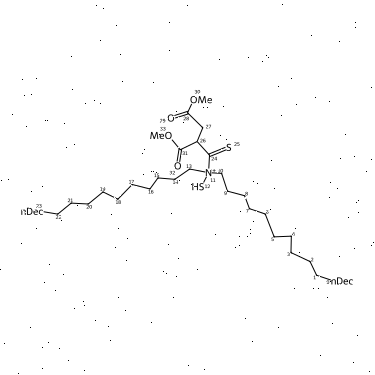 CCCCCCCCCCCCCCCCCCCC[N+](S)(CCCCCCCCCCCCCCCCCCCC)C(=S)C(CC(=O)OC)C(=O)OC